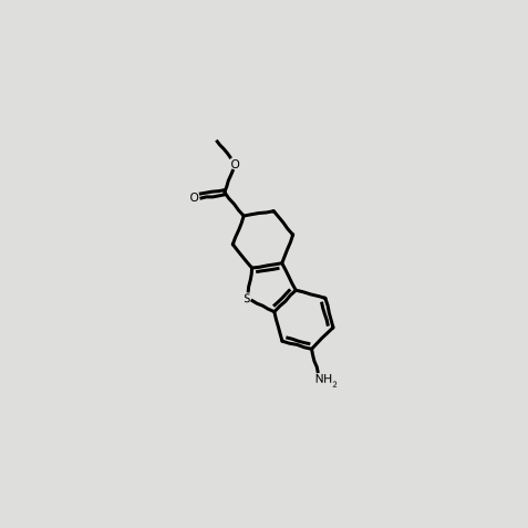 COC(=O)C1CCc2c(sc3cc(N)ccc23)C1